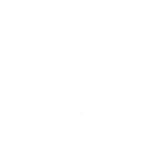 C=CC(=O)OCOc1ccc(C2CCC(OCC)CC2)cc1